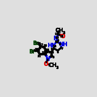 COn1cc(C2CCNC(=NC(C)=O)N2)c2cc(Br)c(Br)cc21